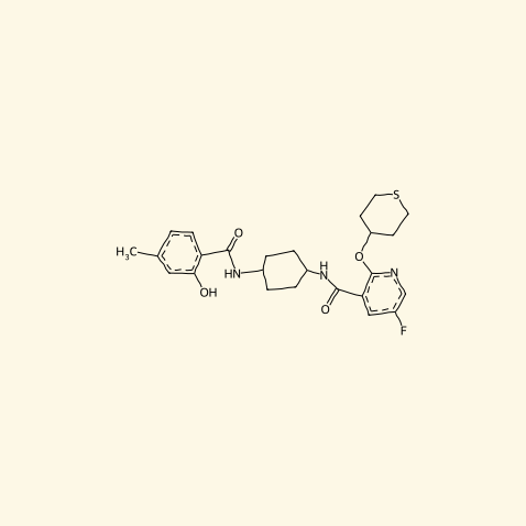 Cc1ccc(C(=O)NC2CCC(NC(=O)c3cc(F)cnc3OC3CCSCC3)CC2)c(O)c1